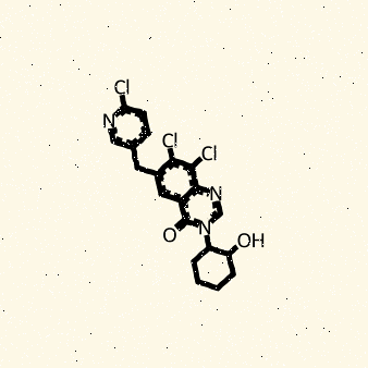 O=c1c2cc(Cc3ccc(Cl)nc3)c(Cl)c(Cl)c2ncn1C1CCCCC1O